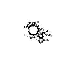 CC[C@H]1OC(=O)C(C)C(=O)[C@H](C)[C@@H](OC2OC(CN(C)OC)CC(N(C)C)C2O)[C@](C)(OC)C[C@@H](C)CN[C@H](C)[C@H]2NC(=O)O[C@@]21C